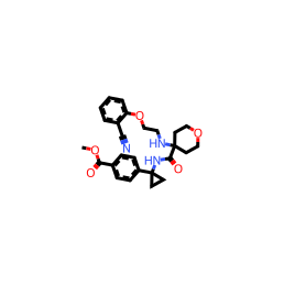 COC(=O)c1ccc(C2(NC(=O)C3(NCCOc4ccccc4C#N)CCOCC3)CC2)cc1